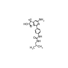 CC(C)CNC(=O)Nc1ccc(-c2nc(N)cc(C3(S(=O)O)CC3)n2)cc1